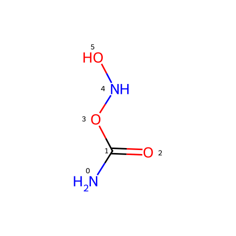 NC(=O)ONO